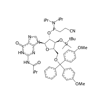 COc1ccc(C(OC[C@H]2O[C@@H](n3cnc4c(=O)[nH]c(NC(=O)C(C)C)nc43)[C@H](OP(CCC#N)N(C(C)C)C(C)C)[C@H]2O[Si](C)(C)C(C)(C)C)(c2ccccc2)c2ccc(OC)cc2)cc1